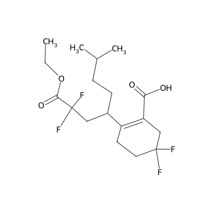 CCOC(=O)C(F)(F)CC(CCC(C)C)C1=C(C(=O)O)CC(F)(F)CC1